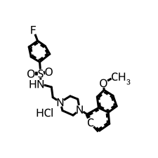 COc1ccc2cccc(N3CCN(CCNS(=O)(=O)c4ccc(F)cc4)CC3)c2c1.Cl